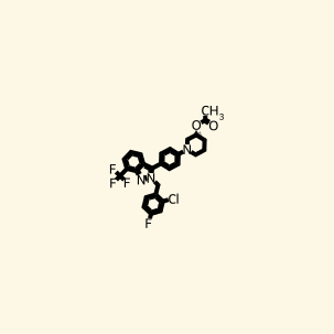 CC(=O)O[C@@H]1CCCN(c2ccc(-c3c4cccc(C(F)(F)F)c4nn3Cc3ccc(F)cc3Cl)cc2)C1